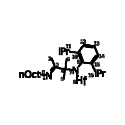 CCCCCCCCN=C(C)C(C)(C)[N]([Hf])c1c(C(C)C)cccc1C(C)C